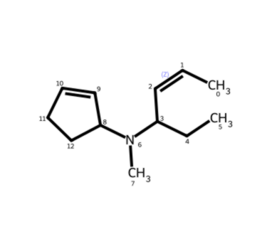 C/C=C\C(CC)N(C)C1C=CCC1